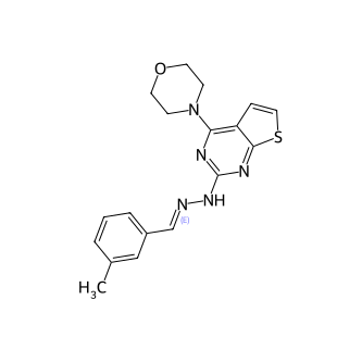 Cc1cccc(/C=N/Nc2nc(N3CCOCC3)c3ccsc3n2)c1